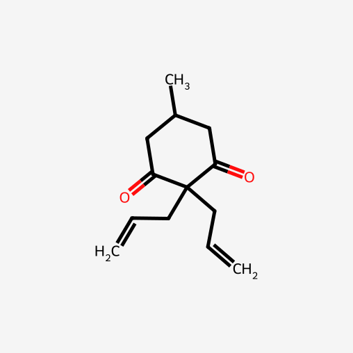 C=CCC1(CC=C)C(=O)CC(C)CC1=O